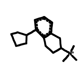 C[N+](C)(C)C1CCc2c(cccc2C2CCCC2)C1